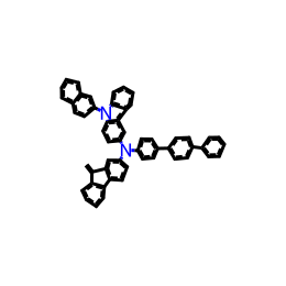 C=C1c2ccccc2-c2ccc(N(c3ccc(-c4ccc(-c5ccccc5)cc4)cc3)c3ccc4c(c3)c3ccccc3n4-c3ccc4ccccc4c3)cc21